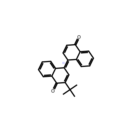 CC(C)(C)C1=C/C(=C2/C=CC(=O)c3ccccc32)c2ccccc2C1=O